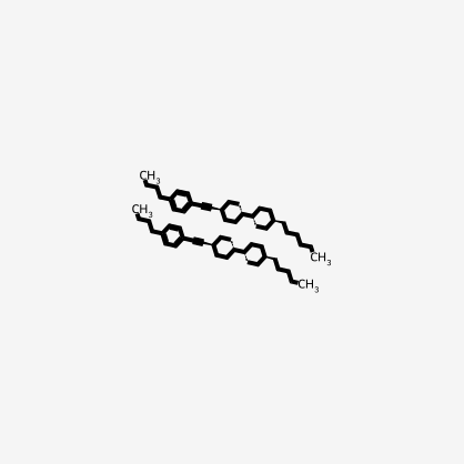 CCCCCC[C@H]1CC[C@H]([C@H]2CC[C@H](C#Cc3ccc(CCCC)cc3)CC2)CC1.CCCCC[C@H]1CC[C@H]([C@H]2CC[C@H](C#Cc3ccc(CCCC)cc3)CC2)CC1